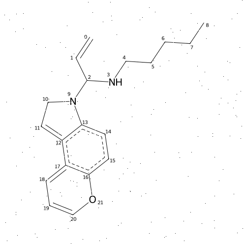 C=CC(NCCCCC)N1CC=c2c1ccc1c2=CC=CO1